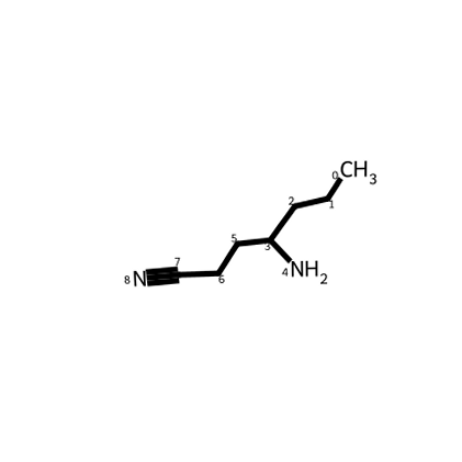 CCCC(N)CCC#N